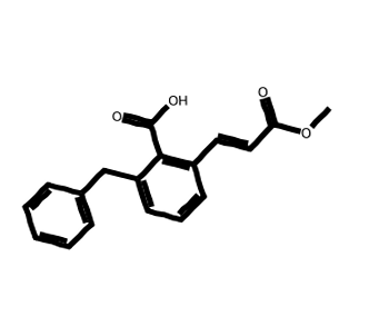 COC(=O)/C=C/c1cccc(Cc2ccccc2)c1C(=O)O